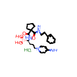 Cl.N=c1ccn(CCC[C@H](NC(=O)C2(C(=O)NCCc3ccccc3)CCCC2)B(O)O)cc1